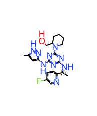 Cc1cc(Nc2nc(N[C@@H](C)c3ccc(F)cn3)nc(N3CCCCC3CO)n2)n[nH]1